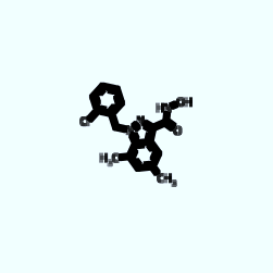 Cc1cc(C)c2c(c1)c(C(=O)NO)nn2Cc1ccccc1Cl